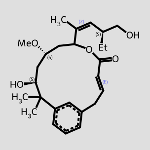 CC[C@@H](/C=C(/C)C1C[C@@H](OC)C[C@H](O)C(C)(C)c2cccc(c2)C/C=C/C(=O)O1)CO